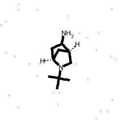 CC(C)(C)N1C[C@H]2C[C@@H]1CC2N